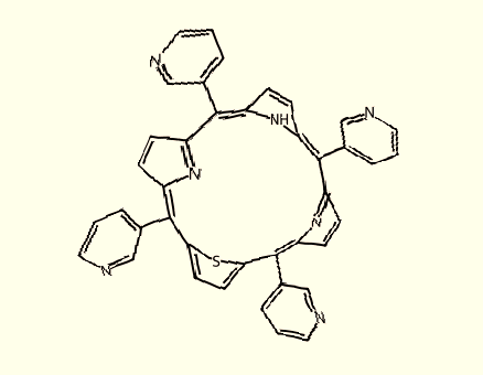 C1=Cc2nc1c(-c1cccnc1)c1ccc([nH]1)c(-c1cccnc1)c1nc(c(-c3cccnc3)c3ccc(s3)c2-c2cccnc2)C=C1